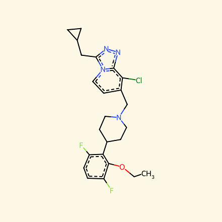 CCOc1c(F)ccc(F)c1C1CCN(Cc2ccn3c(CC4CC4)nnc3c2Cl)CC1